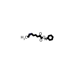 C=C/C=C\CCCC(=O)C(=O)ON=C1CCCCC1